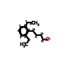 CCc1cccc(CC)c1CCCC[O]